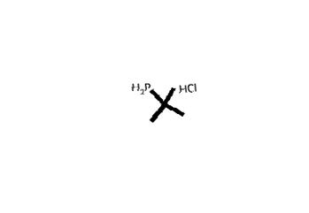 CC(C)(C)P.Cl